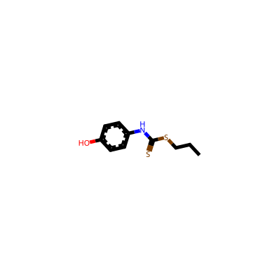 CCCSC(=S)Nc1ccc(O)cc1